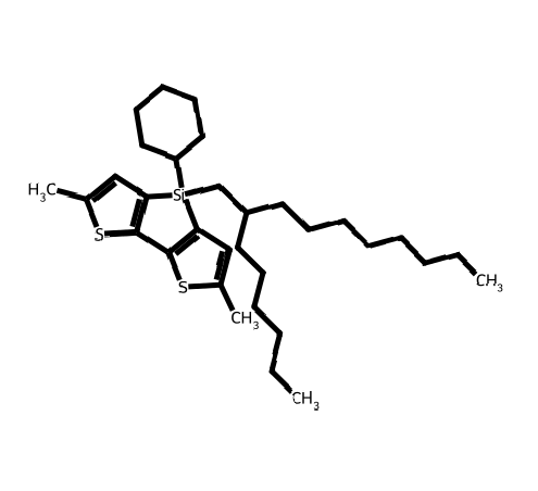 CCCCCCCCC(CCCCCC)C[Si]1(C2CCCCC2)c2cc(C)sc2-c2sc(C)cc21